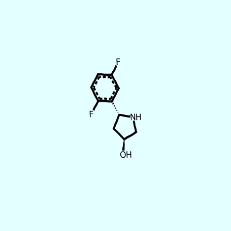 O[C@@H]1CN[C@@H](c2cc(F)ccc2F)C1